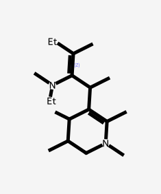 CC/C(C)=C(/C(C)C1=C(C)N(C)CC(C)C1C)N(C)CC